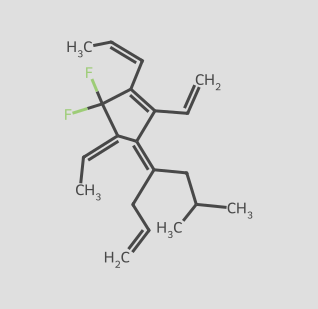 C=CC/C(CC(C)C)=C1C(C=C)=C(/C=C\C)C(F)(F)C/1=C/C